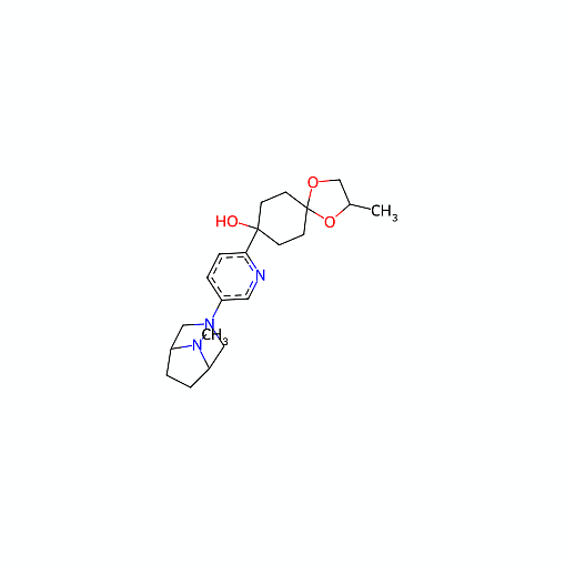 CC1COC2(CCC(O)(c3ccc(N4CC5CCC(C4)N5C)cn3)CC2)O1